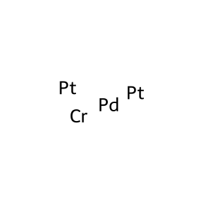 [Cr].[Pd].[Pt].[Pt]